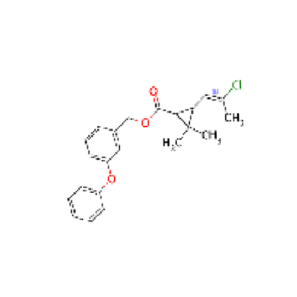 C/C(Cl)=C\C1C(C(=O)OCc2cccc(Oc3ccccc3)c2)C1(C)C